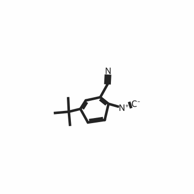 [C-]#[N+]c1ccc(C(C)(C)C)cc1C#N